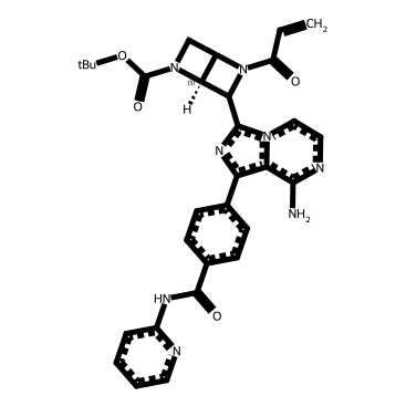 C=CC(=O)N1C2CN(C(=O)OC(C)(C)C)[C@@H]2C1c1nc(-c2ccc(C(=O)Nc3ccccn3)cc2)c2c(N)nccn12